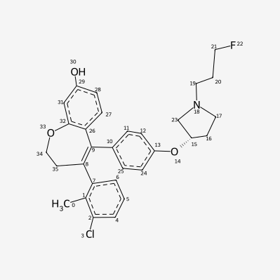 Cc1c(Cl)cccc1C1=C(c2ccc(O[C@H]3CCN(CCCF)C3)cc2)c2ccc(O)cc2OCC1